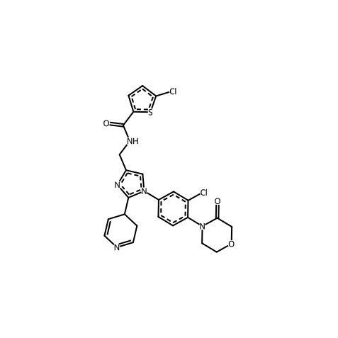 O=C(NCc1cn(-c2ccc(N3CCOCC3=O)c(Cl)c2)c(C2C=CN=CC2)n1)c1ccc(Cl)s1